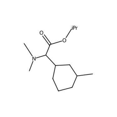 CC1CCCC(C(C(=O)OC(C)C)N(C)C)C1